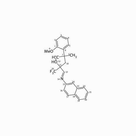 COc1ccccc1C(C)(C)CC(O)(C=Nc1ccc2ccccc2c1)C(F)(F)F